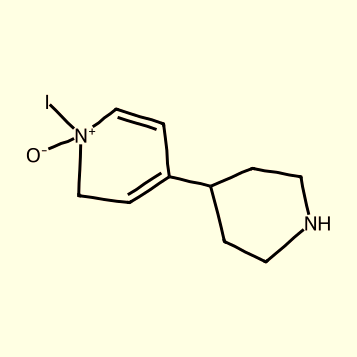 [O-][N+]1(I)C=CC(C2CCNCC2)=CC1